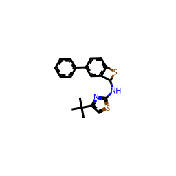 CC(C)(C)c1csc(NC2Sc3ccc(-c4ccccc4)cc32)n1